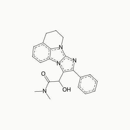 CN(C)C(=O)C(O)c1c(-c2ccccc2)nc2n3c4c(cccc4n12)CCC3